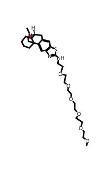 COCCOCCOCCOCCOCCOCCNc1nc2cc3c(cc2s1)C[C@@H]1[C@@H]2CCCCC32CCN1C